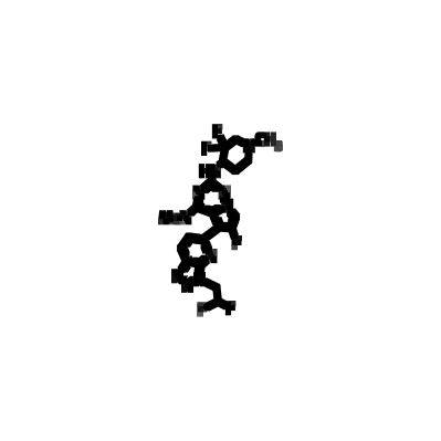 CNc1nc(N[C@@H]2CCN(C)CC2(F)F)nn2cc(F)c(-c3ccc4nnn(CC(F)F)c4n3)c12